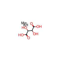 O=C(O)C(O)C(O)C(=O)O.[KH].[Mn]